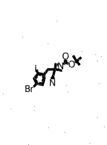 CC(C)(C)OC(=O)N1CC(C#N)(Cc2ccc(Br)cc2I)C1